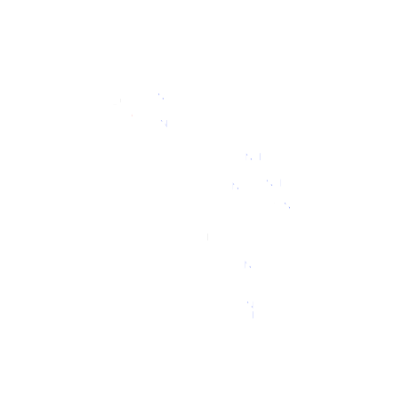 CCOc1nccc(-c2ccc3nc(Nc4cc(C(C)N5CCNCC5)ccn4)[nH]c3c2)n1